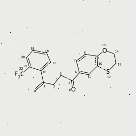 C=C(CCC(=O)c1ccc2c(c1)SCCO2)c1ccccc1C(F)(F)F